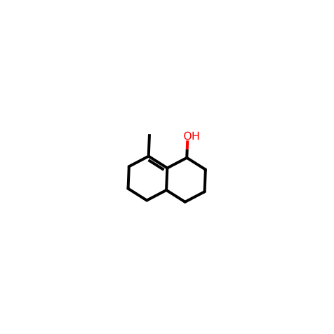 CC1=C2C(O)CCCC2CCC1